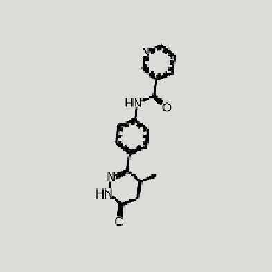 CC1CC(=O)NN=C1c1ccc(NC(=O)c2cccnc2)cc1